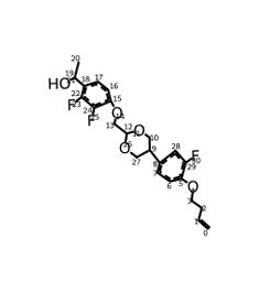 C=CCCOc1ccc(C2COC(COc3ccc(C(C)O)c(F)c3F)OC2)cc1F